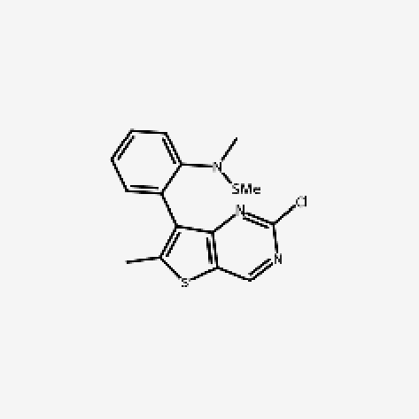 CSN(C)c1ccccc1-c1c(C)sc2cnc(Cl)nc12